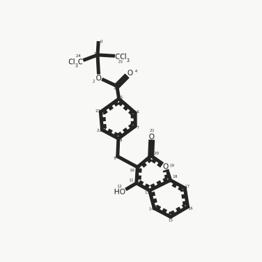 CC(OC(=O)c1ccc(Cc2c(O)c3ccccc3oc2=O)cc1)(C(Cl)(Cl)Cl)C(Cl)(Cl)Cl